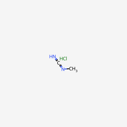 CN=C=N.Cl